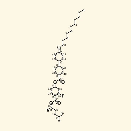 CCCCCCCCCCCOc1ccc(-c2ccc(C(=O)Oc3ccc(C(=O)O[C@H](C)CCC(C)C)c(F)c3)cc2)cc1